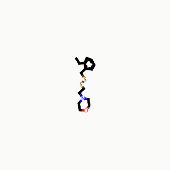 CCc1ccccc1CSSCCN1CCOCC1